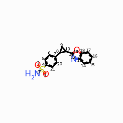 NS(=O)(=O)c1ccc(C2CC2c2nc3ccccc3o2)cc1